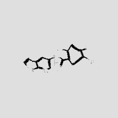 Nc1cc(C(=O)Nc2cnc3[nH]ccc3c2)c(Cl)cc1F